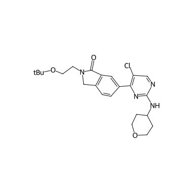 CC(C)(C)OCCN1Cc2ccc(-c3nc(NC4CCOCC4)ncc3Cl)cc2C1=O